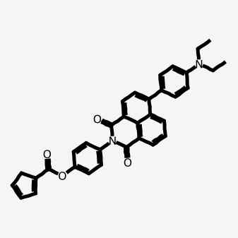 CCN(CC)c1ccc(-c2ccc3c4c(cccc24)C(=O)N(c2ccc(OC(=O)C4=CC=CC4)cc2)C3=O)cc1